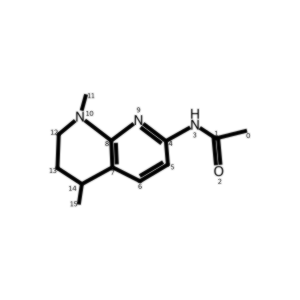 CC(=O)Nc1ccc2c(n1)N(C)CCC2C